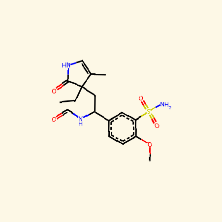 CCC1(CC(NC=O)c2ccc(OC)c(S(N)(=O)=O)c2)C(=O)NC=C1C